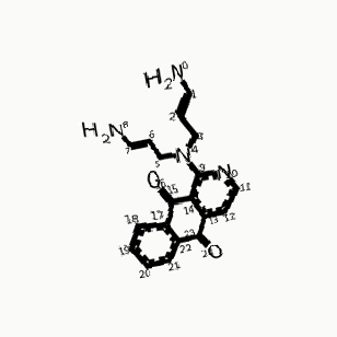 NC=CCN(CC=CN)c1nccc2c1C(=O)c1ccccc1C2=O